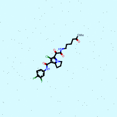 COC(=O)CCCCNC(=O)C(=O)c1c(Cl)c(C(=O)Nc2ccc(F)c(F)c2)c2n1CCC2